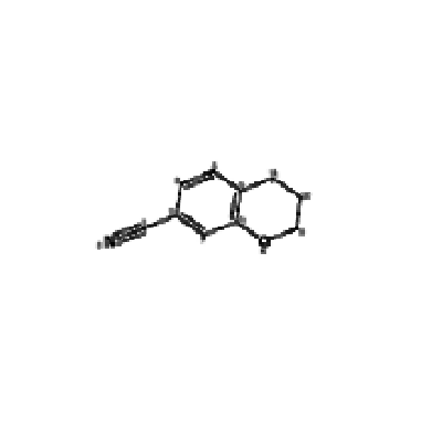 N#Cc1ccc2c(c1)OCC[C]2